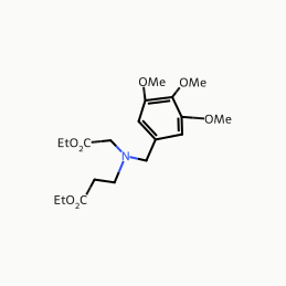 CCOC(=O)CCN(CC(=O)OCC)Cc1cc(OC)c(OC)c(OC)c1